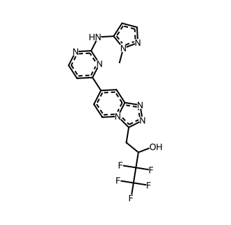 Cn1nccc1Nc1nccc(-c2ccn3c(CC(O)C(F)(F)C(F)(F)F)nnc3c2)n1